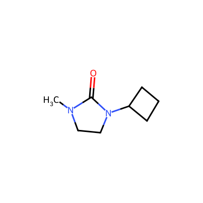 CN1CCN(C2CCC2)C1=O